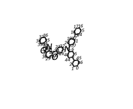 c1ccc(-c2ccc(N(c3ccc(-c4ccccc4)cc3)c3ccc4c(c3)oc3ccc5oc(-c6ccccc6)nc5c34)cc2)cc1